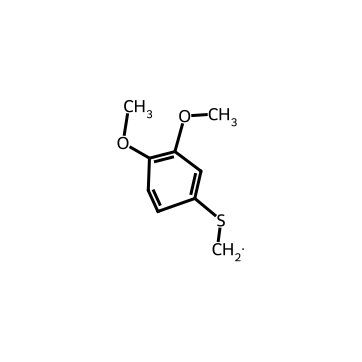 [CH2]Sc1ccc(OC)c(OC)c1